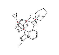 CCOC(=O)c1cccc(NC(=O)N2C3CCC2CC(OCc2c(-c4c(Cl)cccc4Cl)noc2C2CC2)C3)c1